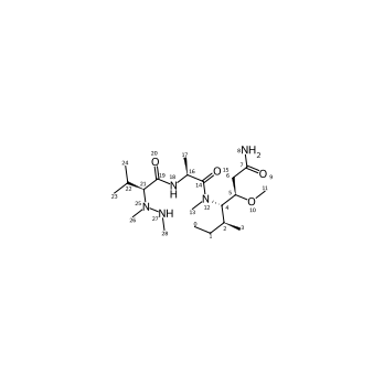 CC[C@H](C)[C@@H]([C@@H](CC(N)=O)OC)N(C)C(=O)[C@H](C)NC(=O)[C@H](C(C)C)N(C)NC